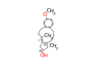 COc1ccc2c(c1)CC/C(C)=C1\C[C@H](O)C[C@]1(C)CCC2